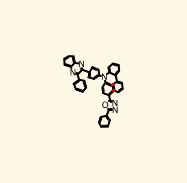 c1ccc(-c2nnc(-c3ccc(N(c4ccc(-c5nc6ccccc6nc5-c5ccccc5)cc4)c4ccccc4-c4ccccc4)cc3)o2)cc1